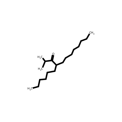 CCCCCCCCC(CCCCCC)C(=O)C(C)C